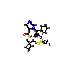 CSSCC1(CSC(=O)c2cncn2C(C)c2ccccc2)CCC1